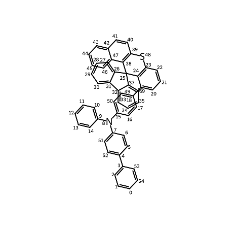 c1ccc(-c2ccc(N(c3ccccc3)c3ccc(-c4cccc5c4C4(c6ccccc6-c6ccccc64)c4c(ccc6ccccc46)S5)cc3)cc2)cc1